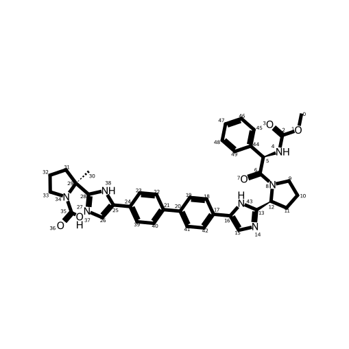 COC(=O)N[C@@H](C(=O)N1CCC[C@H]1c1ncc(-c2ccc(-c3ccc(-c4cnc([C@]5(C)CCCN5C(=O)O)[nH]4)cc3)cc2)[nH]1)c1ccccc1